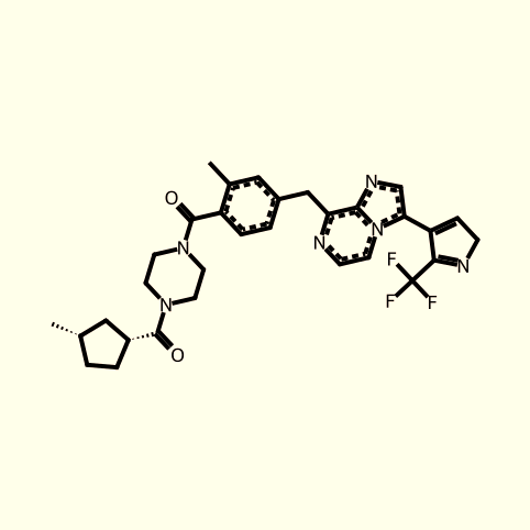 Cc1cc(Cc2nccn3c(C4=CCN=C4C(F)(F)F)cnc23)ccc1C(=O)N1CCN(C(=O)[C@@H]2CC[C@H](C)C2)CC1